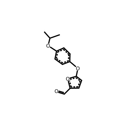 CC(C)Oc1ccc(Oc2ccc(C=O)o2)cc1